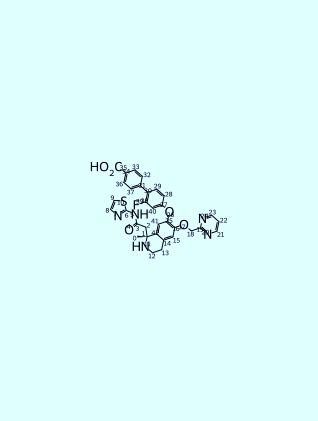 C[C@]1(CC(=O)Nc2nccs2)NCCc2cc(OCc3ncccn3)c(Oc3ccc(-c4ccc(C(=O)O)cc4)c(F)c3)cc21